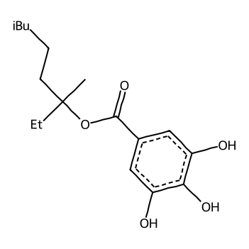 CCC(C)CCC(C)(CC)OC(=O)c1cc(O)c(O)c(O)c1